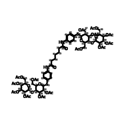 CC(=O)OC[C@H]1O[C@@H](Sc2ccc(NC(=O)CCCCCC(=O)Nc3ccc(S[C@@H]4O[C@H](COC(C)=O)[C@@H](O[C@H]5O[C@H](COC(C)=O)[C@@H](OC(C)=O)[C@H](OC(C)=O)[C@H]5OC(C)=O)[C@H](OC(C)=O)[C@H]4OC(C)=O)cc3)cc2)[C@H](OC(C)=O)[C@@H](OC(C)=O)[C@@H]1O[C@H]1O[C@H](COC(C)=O)[C@@H](OC(C)=O)[C@H](OC(C)=O)[C@H]1OC(C)=O